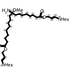 CCCCCC/C=C/COC(=O)CCCCCCCCC(N)(CCCCCCCC(=O)OC/C=C/CCCCCC)OC